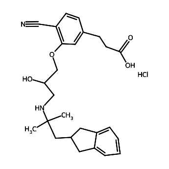 CC(C)(CC1Cc2ccccc2C1)NCC(O)COc1cc(CCC(=O)O)ccc1C#N.Cl